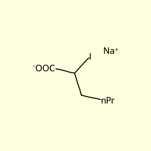 CCCCC(I)C(=O)[O-].[Na+]